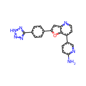 Nc1ccc(-c2ccnc3cc(-c4ccc(-c5nn[nH]n5)cc4)oc23)cn1